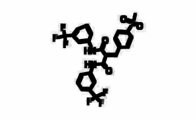 CS(=O)(=O)c1ccc(C=C(C(=O)Nc2cccc(C(F)(F)F)c2)C(=O)Nc2cccc(C(F)(F)F)c2)cc1